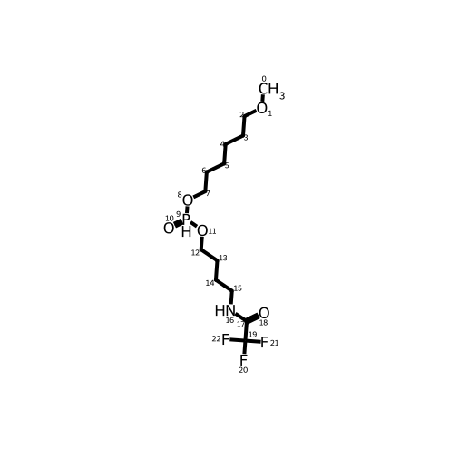 COCCCCCCO[PH](=O)OCCCCNC(=O)C(F)(F)F